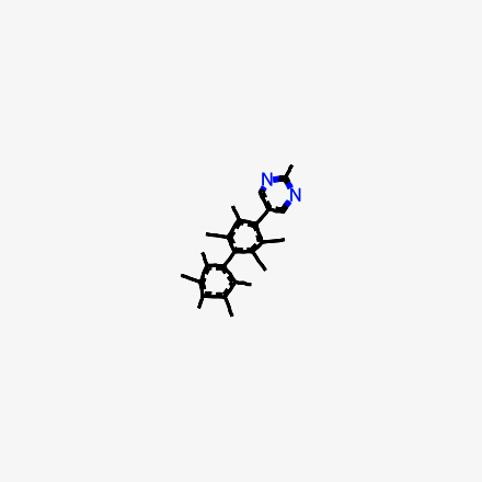 Cc1ncc(-c2c(C)c(C)c(-c3c(C)c(C)c(C)c(C)c3C)c(C)c2C)cn1